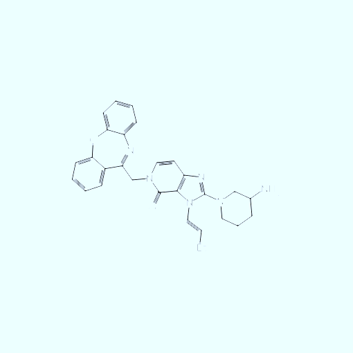 CCC=Cn1c(N2CCCC(N)C2)nc2ccn(CC3=Nc4ccccc4Oc4ccccc43)c(=O)c21